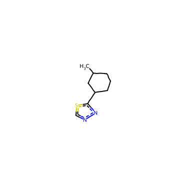 CC1CCCC(c2nncs2)C1